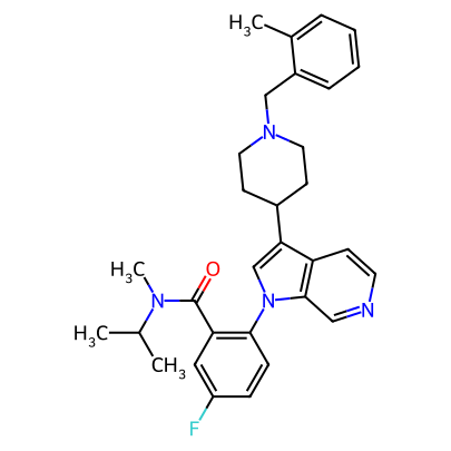 Cc1ccccc1CN1CCC(c2cn(-c3ccc(F)cc3C(=O)N(C)C(C)C)c3cnccc23)CC1